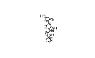 O=C(N[C@@H]1CN2CCC1CC2)c1n[nH]c2cc(N3C[C@@H](O)CC3=O)ccc12